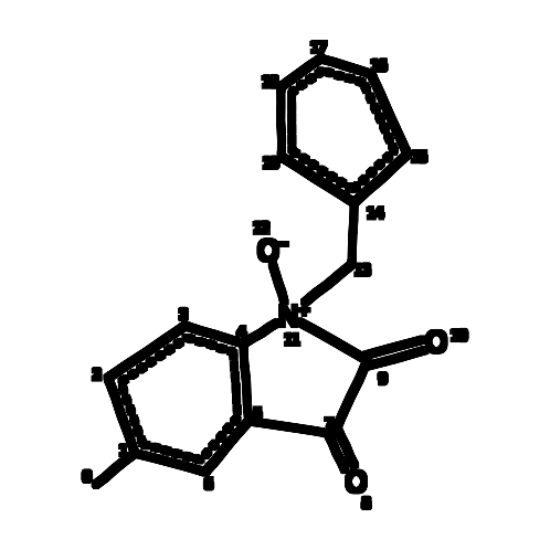 Cc1ccc2c(c1)C(=O)C(=O)[N+]2([O-])Cc1ccccc1